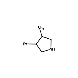 CC(C)C1CNCC1C(F)(F)F